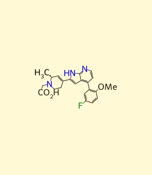 COc1ccc(F)cc1-c1ccnc2[nH]c(C3=C[C@H](C)N(CC(=O)O)CC3)cc12